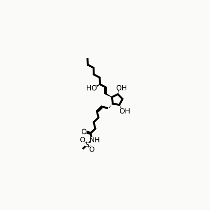 CCCCC[C@H](O)/C=C/[C@@H]1[C@@H](C/C=C\CCCC(=O)NS(C)(=O)=O)[C@@H](O)C[C@H]1O